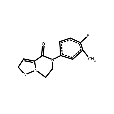 Cc1cc(N2CCN3NCC=C3C2=O)ccc1F